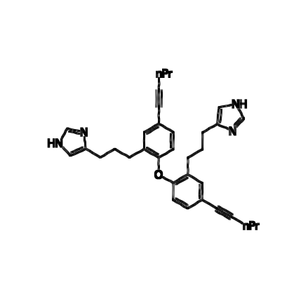 CCCC#Cc1ccc(Oc2ccc(C#CCCC)cc2CCCc2c[nH]cn2)c(CCCc2c[nH]cn2)c1